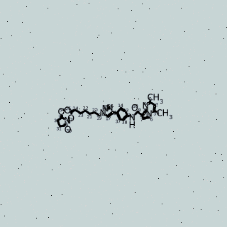 Cc1cc(C)n2ccc(C(=O)Nc3ccc(-c4cn(CCCCCCC(=O)ON5C(=O)CCC5=O)nn4)cc3)c2n1